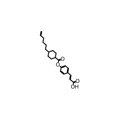 C=CCCCCC1CCC(C(=O)Oc2ccc(C=CC(=O)O)cc2)CC1